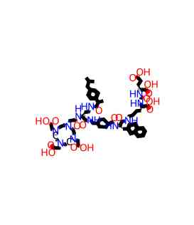 CC(C)Cc1ccc(C(C)C(=O)NCC[C@H](NC(=O)CN2CCN(CC(=O)O)CCN(CC(=O)O)CCN(CC(=O)O)CC2)C(=O)NCC2CCC(C(=O)N[C@@H](Cc3ccc4ccccc4c3)C(=O)NCCCC[C@H](NC(=O)N[C@@H](CCC(=O)O)C(=O)O)C(=O)O)CC2)cc1